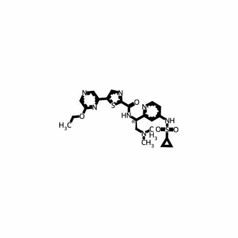 CCOc1cncc(-c2cnc(C(=O)N[C@H](CN(C)C)c3cc(NS(=O)(=O)C4CC4)ccn3)s2)n1